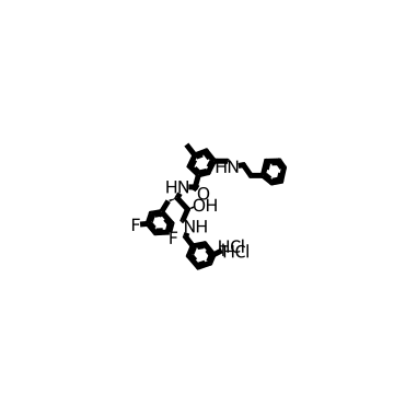 Cc1cc(CNCCc2ccccc2)cc(C(=O)N[C@@H](Cc2cc(F)cc(F)c2)[C@H](O)CNCc2cccc(I)c2)c1.Cl.Cl